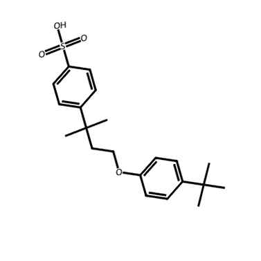 CC(C)(C)c1ccc(OCCC(C)(C)c2ccc(S(=O)(=O)O)cc2)cc1